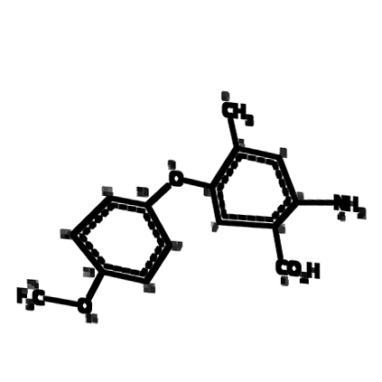 Cc1cc(N)c(C(=O)O)cc1Oc1ccc(OC(F)(F)F)cc1